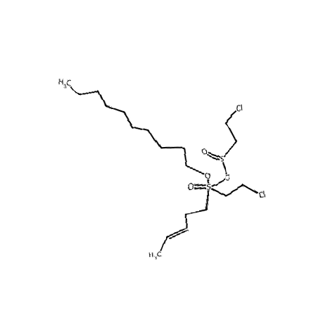 CC=CCCS(=O)(CCCl)(OCCCCCCCCCC)OS(=O)CCCl